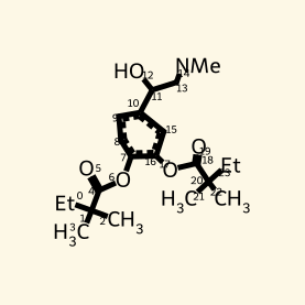 CCC(C)(C)C(=O)Oc1ccc(C(O)CNC)cc1OC(=O)C(C)(C)CC